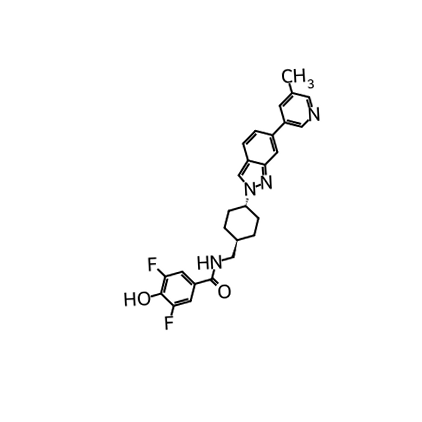 Cc1cncc(-c2ccc3cn([C@H]4CC[C@H](CNC(=O)c5cc(F)c(O)c(F)c5)CC4)nc3c2)c1